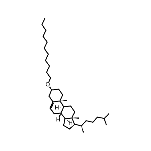 CCCCCCCCCCCO[C@H]1CC[C@@]2(C)C(=CC[C@H]3[C@@H]4CC[C@H]([C@H](C)CCCC(C)C)[C@@]4(C)CC[C@@H]32)C1